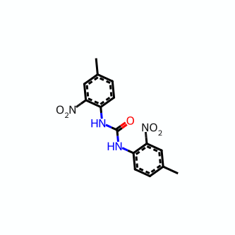 Cc1ccc(NC(=O)Nc2ccc(C)cc2[N+](=O)[O-])c([N+](=O)[O-])c1